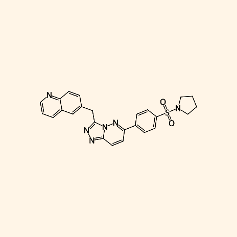 O=S(=O)(c1ccc(-c2ccc3nnc(Cc4ccc5ncccc5c4)n3n2)cc1)N1CCCC1